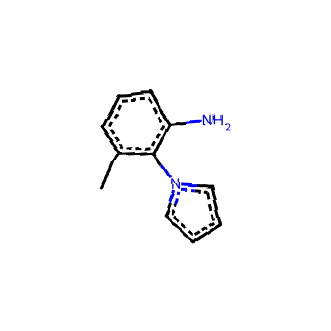 Cc1cccc(N)c1-n1cccc1